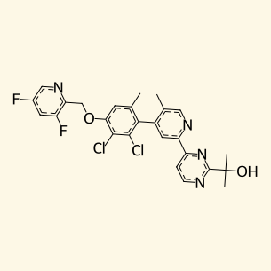 Cc1cnc(-c2ccnc(C(C)(C)O)n2)cc1-c1c(C)cc(OCc2ncc(F)cc2F)c(Cl)c1Cl